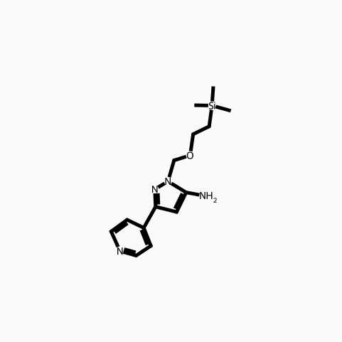 C[Si](C)(C)CCOCn1nc(-c2ccncc2)cc1N